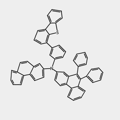 c1ccc(-c2c(-c3ccccc3)c3cc(N(c4cccc(-c5cccc6c5sc5ccccc56)c4)c4ccc5c(ccc6ccccc65)c4)ccc3c3ccccc23)cc1